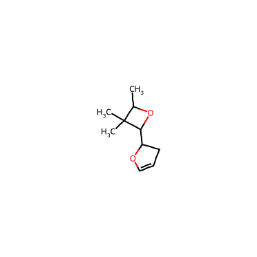 CC1OC(C2CC=CO2)C1(C)C